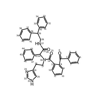 O=C(c1ccccc1)c1ccccc1C(=O)N(CCc1c[nH]cn1)C(C(=O)NCC(c1ccccc1)c1ccccc1)c1ccccc1